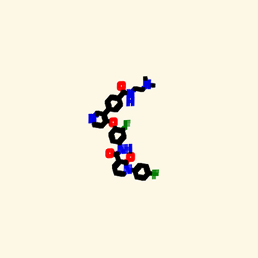 CN(C)CCNC(=O)c1ccc(-c2cnccc2Oc2ccc(NC(=O)c3cccn(-c4ccc(F)cc4)c3=O)cc2F)cc1